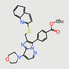 CC(C)(C)OC(=O)c1ccc(-c2c(CSc3ccc4ccccc4n3)nc3c(N4CCOCC4)ccnn23)cc1